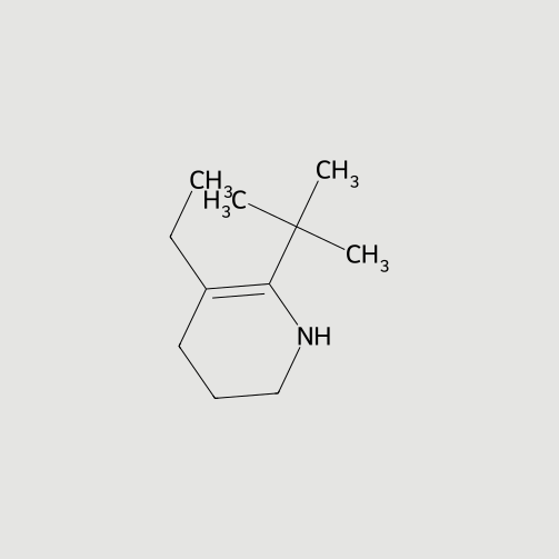 CCC1=C(C(C)(C)C)NCCC1